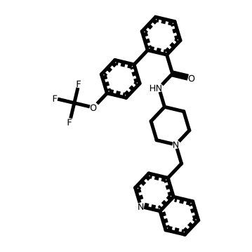 O=C(NC1CCN(Cc2ccnc3ccccc23)CC1)c1ccccc1-c1ccc(OC(F)(F)F)cc1